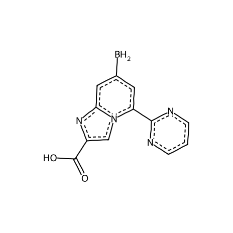 Bc1cc(-c2ncccn2)n2cc(C(=O)O)nc2c1